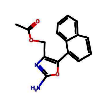 CC(=O)OCc1nc(N)oc1-c1cccc2ccccc12